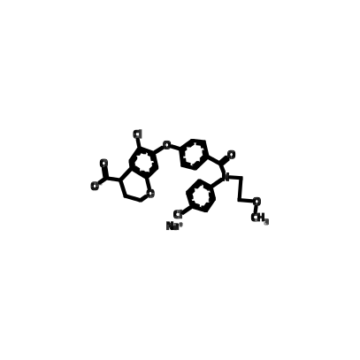 COCCN(C(=O)c1ccc(Oc2cc3c(cc2Cl)C(C(=O)[O-])CCO3)cc1)c1ccc(Cl)cc1.[Na+]